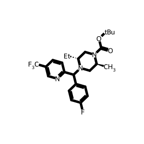 CC[C@@H]1CN(C(=O)OC(C)(C)C)[C@@H](C)CN1C(c1ccc(F)cc1)c1ccc(C(F)(F)F)cn1